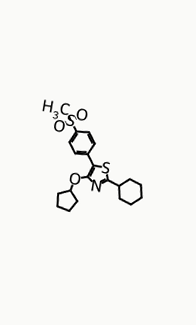 CS(=O)(=O)c1ccc(-c2sc(C3CCCCC3)nc2OC2CCCC2)cc1